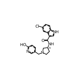 O=C(N[C@H]1CCN(Cc2ccc(O)nc2)C1)c1c[nH]c2ccc(Cl)cc12